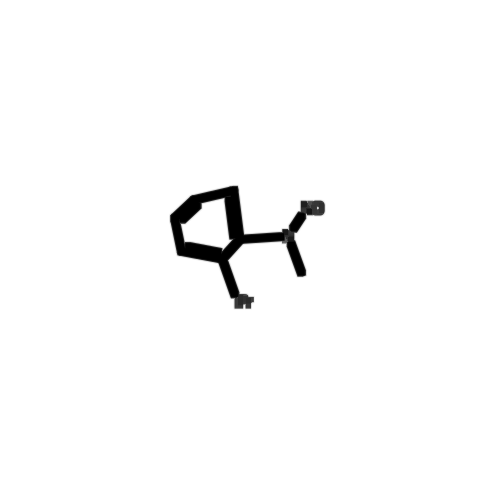 CC(C)c1ccccc1N(C)N=O